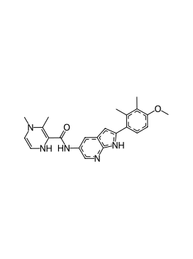 COc1ccc(-c2cc3cc(NC(=O)C4=C(C)N(C)C=CN4)cnc3[nH]2)c(C)c1C